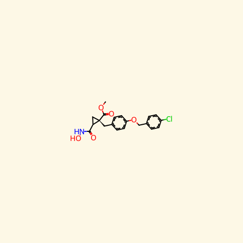 COC(=O)[C@@]1(Cc2ccc(OCc3ccc(Cl)cc3)cc2)CC1C(=O)NO